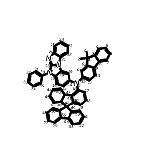 CC1(C)c2ccccc2-c2ccc(N(c3ccc4c(c3)n3c5ccccc5nc3n4-c3ccccc3)c3cccc4c3C3C=CC=CC3C43c4ccccc4-c4ccccc43)cc21